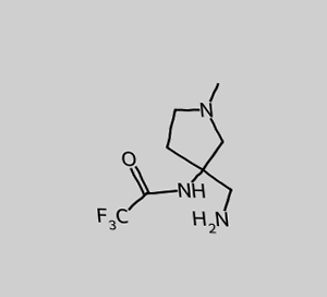 CN1CCC(CN)(NC(=O)C(F)(F)F)C1